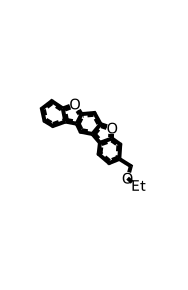 CCOCc1ccc2c(c1)oc1cc3oc4ccccc4c3cc12